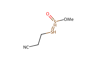 CO/[SH](=O)=[SH]/CCC#N